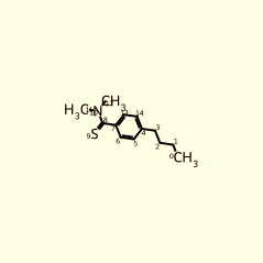 CCCCc1ccc(C(=S)N(C)C)cc1